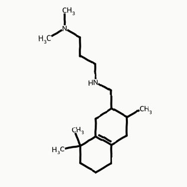 CC1CC2=C(CC1CNCCCN(C)C)C(C)(C)CCC2